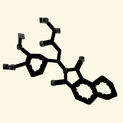 CCOc1cc(C(CC(=O)NO)N2C(=O)c3ccc4ccccc4c3C2=O)ccc1OC